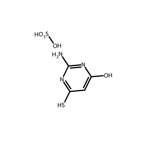 Nc1nc(O)cc(S)n1.O=S(=O)(O)O